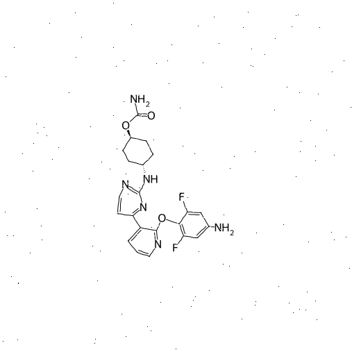 NC(=O)O[C@H]1CC[C@H](Nc2nccc(-c3cccnc3Oc3c(F)cc(N)cc3F)n2)CC1